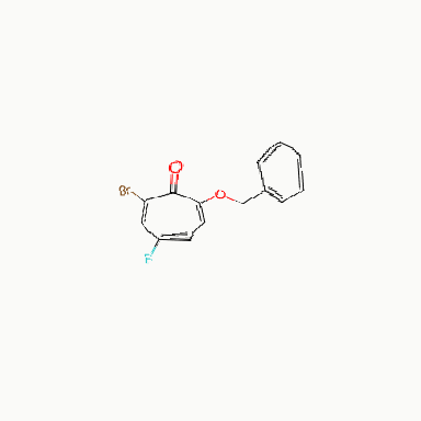 O=c1c(Br)cc(F)ccc1OCc1ccccc1